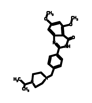 COc1cc(OC)c2c(=O)[nH]c(-c3ccc(CN4CCN(C(C)C)CC4)cc3)nc2c1